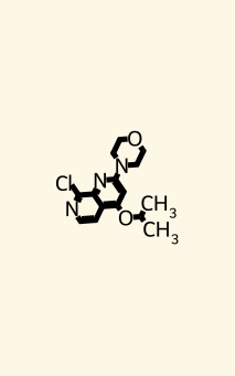 CC(C)Oc1cc(N2CCOCC2)nc2c(Cl)nccc12